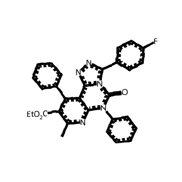 CCOC(=O)c1c(C)nc2c(c1-c1ccccc1)c1nnc(-c3ccc(F)cc3)n1c(=O)n2-c1ccccc1